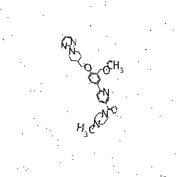 COCc1cc(-c2ccc(C(=O)N3CCN(C)CC3)cn2)ccc1OCC1CCN(c2ncccn2)CC1